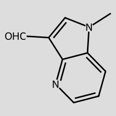 Cn1cc(C=O)c2ncccc21